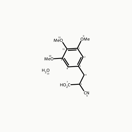 COc1cc(CC(C#N)C(=O)O)cc(OC)c1OC.O